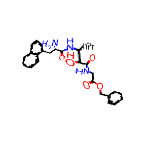 CCCC(NC(=O)[C@@H](N)Cc1cccc2ccccc12)C(O)C(=O)NCC(=O)OCc1ccccc1